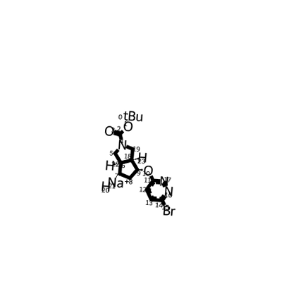 CC(C)(C)OC(=O)N1C[C@@H]2CC[C@@H](Oc3ccc(Br)nn3)[C@@H]2C1.[H-].[Na+]